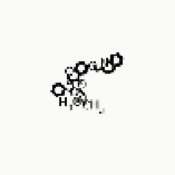 CN(C)CC(=O)O[C@@H]1c2cc(OCc3ccc4ccccc4n3)ccc2OC[C@@H]1OC1CCCCC1